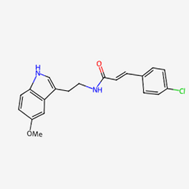 COc1ccc2[nH]cc(CCNC(=O)/C=C/c3ccc(Cl)cc3)c2c1